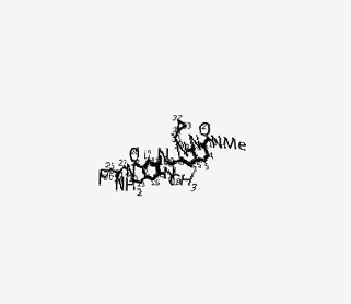 CNC(=O)c1ccc2cc(-c3nc4cc5c(cc4n3C)CCN(CC(N)CF)C5=O)n(CC3CC3)c2n1